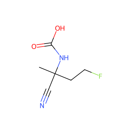 CC(C#N)(CCF)NC(=O)O